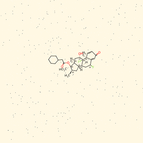 C[C@@H]1C[C@H]2[C@@H]3C[C@H](F)C4=CC(=O)C=C[C@]4(C)[C@@]3(F)[C@@H](O)C[C@]2(C)[C@@]1(OC(=O)CC1CCCCC1)C(=O)O